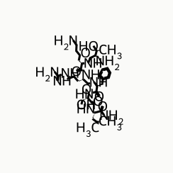 CC(C)C[C@H](NC(=O)[C@H](CO)NC(=O)[C@H](Cc1ccccc1)NC(=O)[C@H](CCCNC(=N)N)NC(=O)[C@H](CCCCN)NC(=O)[C@@H](N)[C@@H](C)O)C(N)=O